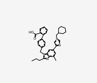 CCCc1nc2c(C)cc(-c3cn(CC4CCCCC4)cn3)cc2n1Cc1ccc(-c2ccccc2C(=O)O)cc1